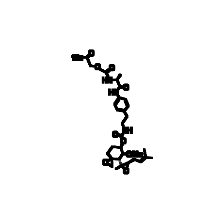 CO[C@H]1[C@H](C2(C)O[C@@H]2CC=C(C)C)[C@]2(CC[C@H]1OC(=O)NCCc1ccc(NC(=O)[C@H](C)NC(=O)COCC(=O)C(C)(C)C)cc1)CO2